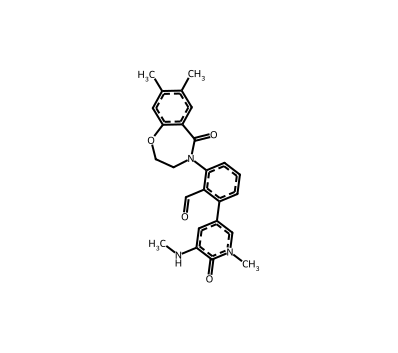 CNc1cc(-c2cccc(N3CCOc4cc(C)c(C)cc4C3=O)c2C=O)cn(C)c1=O